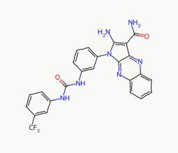 NC(=O)c1c(N)n(-c2cccc(NC(=O)Nc3cccc(C(F)(F)F)c3)c2)c2nc3ccccc3nc12